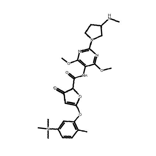 CNC1CCN(c2nc(OC)c(NC(=O)C3OC(Oc4cc([Si](C)(C)C)ccc4C)=CC3=O)c(OC)n2)C1